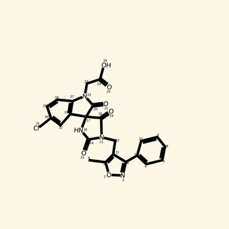 Cc1onc(-c2ccccc2)c1CN1C(=O)NC2(C1=O)C(=O)N(CC(=O)O)c1ccc(Cl)cc12